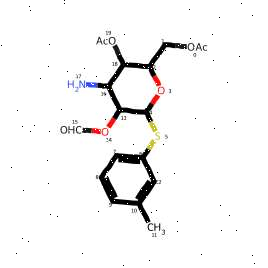 CC(=O)OCC1OC(Sc2cccc(C)c2)C(OC=O)C(N)C1OC(C)=O